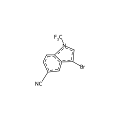 N#Cc1ccc2c(c1)c(Br)cn2C(F)(F)F